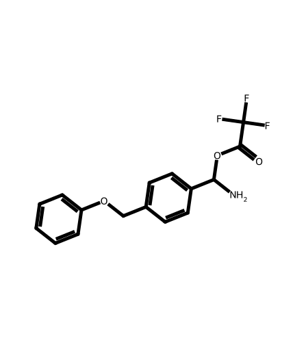 NC(OC(=O)C(F)(F)F)c1ccc(COc2ccccc2)cc1